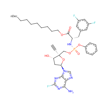 C#C[C@]1(CO[P@@](=O)(N[C@@H](Cc2cc(F)cc(F)c2)C(=O)OCCCCCCCCCCCCCCCCCC)Oc2ccccc2)O[C@@H](n2cnc3c(N)nc(F)nc32)C[C@@H]1O